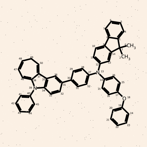 CC1(C)c2ccccc2-c2ccc(N(c3ccc(Oc4ccccc4)cc3)c3ccc(-c4ccc5c(c4)c4c(n5-c5ccccc5)=CC=CCC=4)cc3)cc21